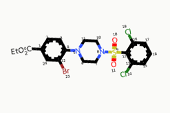 CCOC(=O)c1ccc(N2CCN(S(=O)(=O)c3c(Cl)cccc3Cl)CC2)c(Br)c1